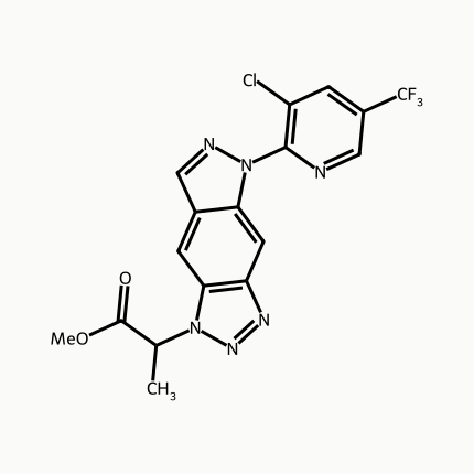 COC(=O)C(C)n1nnc2cc3c(cnn3-c3ncc(C(F)(F)F)cc3Cl)cc21